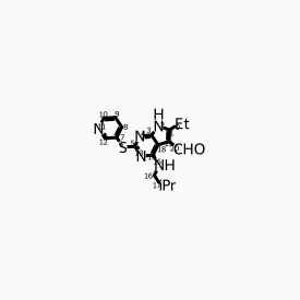 CCc1[nH]c2nc(Sc3cccnc3)nc(NCC(C)C)c2c1C=O